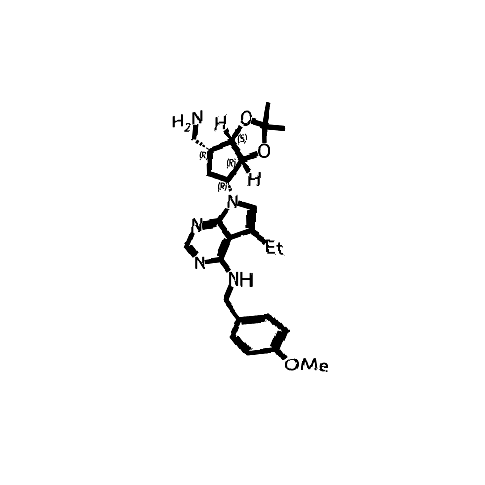 CCc1cn([C@@H]2C[C@H](CN)[C@@H]3OC(C)(C)O[C@@H]32)c2ncnc(NCc3ccc(OC)cc3)c12